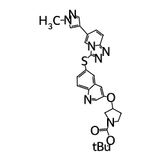 Cn1cc(-c2ccc3nnc(Sc4ccc5ncc(OC6CCN(C(=O)OC(C)(C)C)C6)cc5c4)n3c2)cn1